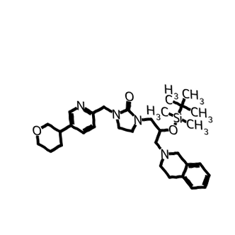 CC(C)(C)[Si](C)(C)OC(CN1CCc2ccccc2C1)CN1CCN(Cc2ccc(C3CCCOC3)cn2)C1=O